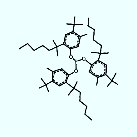 CCCCCC(C)(C)c1cc(C(C)(C)C)c(C)cc1OP(Oc1cc(C)c(C(C)(C)C)cc1C(C)(C)CCCCC)Oc1cc(C)c(C(C)(C)C)cc1C(C)(C)CCCCC